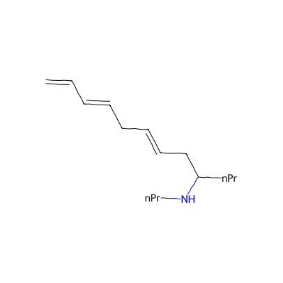 C=CC=CCC=CCC(CCC)NCCC